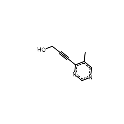 Cc1cn[c]nc1C#CCO